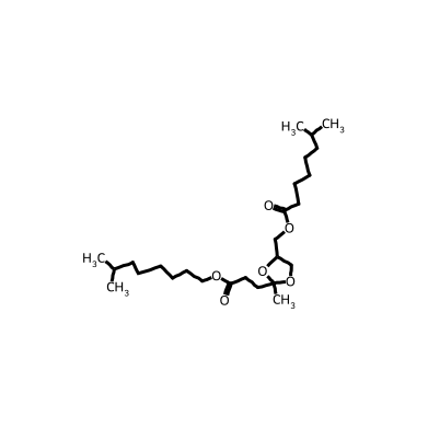 CC(C)CCCCCCOC(=O)CCC1(C)OCC(COC(=O)CCCCCC(C)C)O1